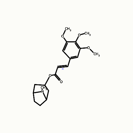 COc1cc(/C=C/C(=O)OC2CC3CCC(C2)N3C)cc(OC)c1OC